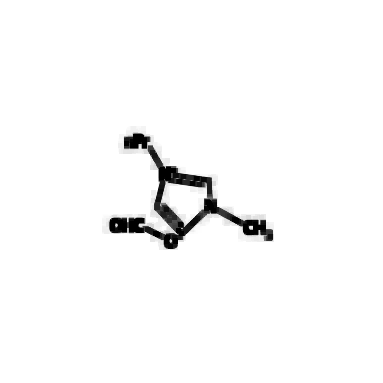 CCC[n+]1ccn(C)c1.O=C[O-]